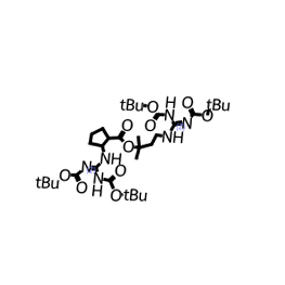 CC(C)(C)OC(=O)/N=C(/NCCC(C)(C)OC(=O)C1CCCC1N/C(=N/C(=O)OC(C)(C)C)NC(=O)OC(C)(C)C)NC(=O)OC(C)(C)C